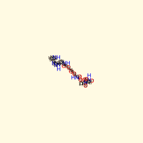 O=C(COc1cccc2c1C(=O)N(C1CCC(=O)NC1=O)C2=O)NCCOCCOCCOCCC(=O)Nc1cccc(Nc2cc(-c3c[nH]c4ccccc34)ncn2)c1